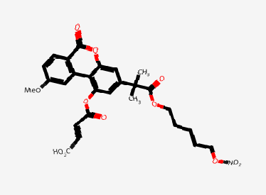 COc1ccc2c(=O)oc3cc(C(C)(C)C(=O)OCCCCCO[N+](=O)[O-])cc(OC(=O)C=CC(=O)O)c3c2c1